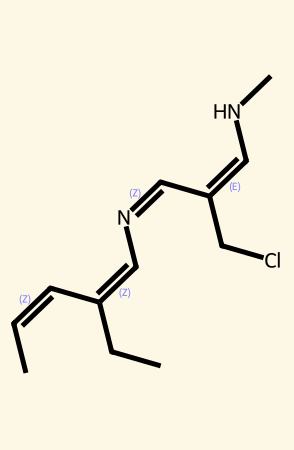 C\C=C/C(=C\N=C/C(=C\NC)CCl)CC